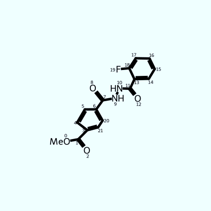 COC(=O)c1ccc(C(=O)NNC(=O)c2ccccc2F)cc1